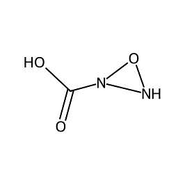 O=C(O)n1[nH]o1